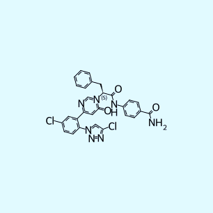 NC(=O)c1ccc(NC(=O)[C@H](Cc2ccccc2)n2cnc(-c3cc(Cl)ccc3-n3cc(Cl)nn3)cc2=O)cc1